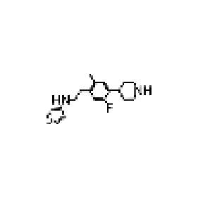 Cc1cc(C2CCNCC2)c(F)cc1CCNc1ccsc1